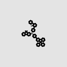 CC1(C)c2ccccc2-c2ccc(N(c3ccc(-c4ccc5c(c4)-c4ccccc4C5(c4ccccc4)c4ccccc4)cc3)c3ccc(-c4cccc5c4sc4ccccc45)cc3)cc21